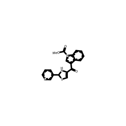 COC(=O)n1cc(C(=O)C2=CSC(c3cccnc3)N2)c2ccccc21